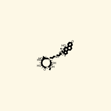 CC[C@H]1OC(=O)[C@H](C)[C@@H](O)[C@H](C)[C@@H](O)[C@]2(O)C[C@@]2(C)CN(CCCNCCC(=O)O[C@]2(C(=O)OC)[C@H](C)CC3C4CCC5=CC(=O)C=C[C@]5(C)[C@@]4(F)[C@@H](O)C[C@@]32C)[C@H](C)[C@@H](O)[C@]1(C)O